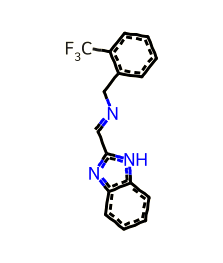 FC(F)(F)c1ccccc1CN=Cc1nc2ccccc2[nH]1